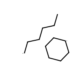 [CH2]CCCCC.[CH]1CCCCC1